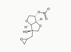 O=[N+]([O-])O[C@H]1CO[C@H]2[C@@H]1OC[C@]2(O)CC1CO1